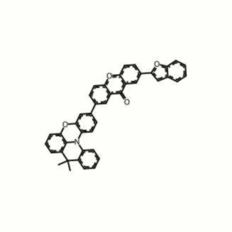 CC1(C)c2ccccc2N2c3ccc(-c4ccc5oc6ccc(-c7cc8ccccc8o7)cc6c(=O)c5c4)cc3Oc3cccc1c32